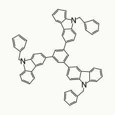 c1ccc(Cn2c3ccccc3c3cc(-c4cc(-c5ccc6c(c5)c5ccccc5n6Cc5ccccc5)cc(-c5ccc6c(c5)c5ccccc5n6Cc5ccccc5)c4)ccc32)cc1